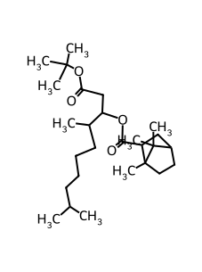 CC(C)CCCCC(C)C(CC(=O)OC(C)(C)C)OC(=O)C1CC2CCC1(C)C2(C)C